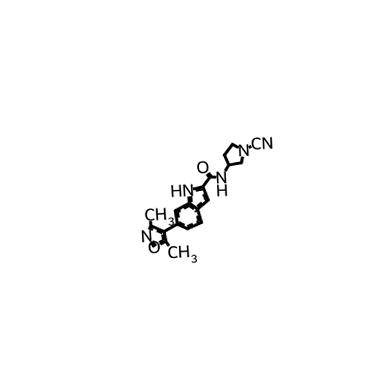 Cc1noc(C)c1-c1ccc2cc(C(=O)NC3CCN(C#N)C3)[nH]c2c1